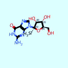 Nc1nc2c(ncn2[C@]2([SiH3])O[C@H](CO)[C@@H](O)[C@H]2O)c(=O)[nH]1